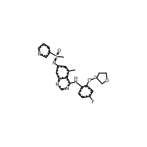 Cc1cc(N=S(C)(=O)c2cccnc2)cc2ncnc(Nc3ccc(F)cc3O[C@H]3CCOC3)c12